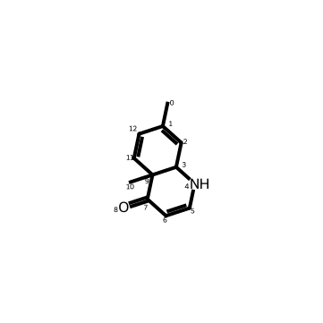 CC1=CC2NC=CC(=O)C2(C)C=C1